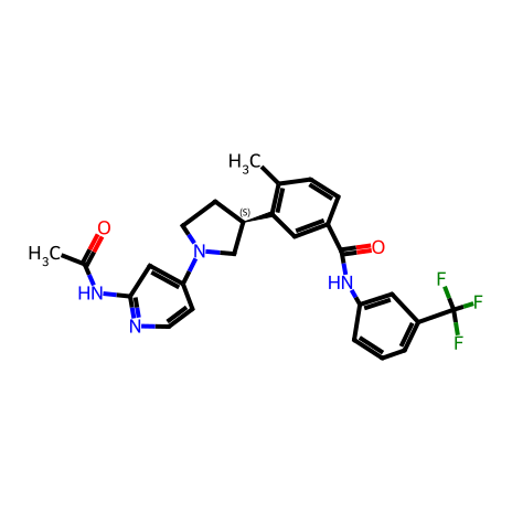 CC(=O)Nc1cc(N2CC[C@@H](c3cc(C(=O)Nc4cccc(C(F)(F)F)c4)ccc3C)C2)ccn1